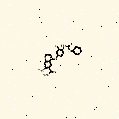 CNC(=O)c1cc2c(Oc3ccc(NC(=O)Oc4ccccc4)c(Cl)c3)ccnc2cc1OC